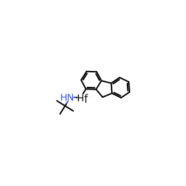 CC(C)(C)[NH][Hf][c]1cccc2c1Cc1ccccc1-2